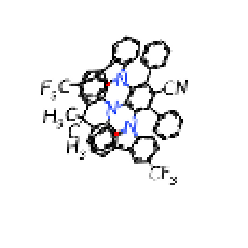 CC1(C)c2ccccc2N(c2c(-n3c4ccccc4c4cc(C(F)(F)F)ccc43)c(-c3ccccc3)c(C#N)c(-c3ccccc3)c2-n2c3ccccc3c3cc(C(F)(F)F)ccc32)c2ccccc21